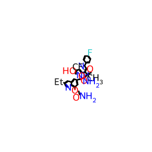 CCc1cnc2c(OCC(N)=O)cc(C(=O)NCC(O)(c3cc4c(c(-c5ccc(F)cc5)n3)OC[C@]4(C)C(N)=O)C(F)(F)F)cc2c1